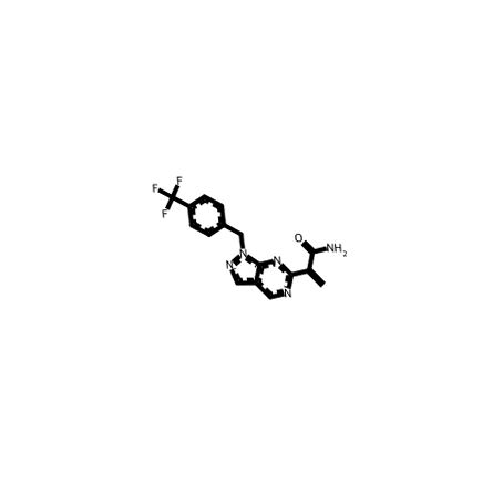 C=C(C(N)=O)c1ncc2cnn(Cc3ccc(C(F)(F)F)cc3)c2n1